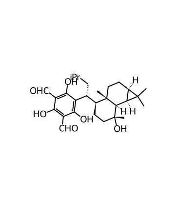 CC(C)C[C@@H](c1c(O)c(C=O)c(O)c(C=O)c1O)[C@@H]1CC[C@@](C)(O)[C@@H]2[C@H]3[C@@H](CC[C@]21C)C3(C)C